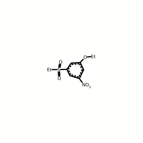 CCOc1cc([N+](=O)[O-])cc(S(=O)(=O)CC)c1